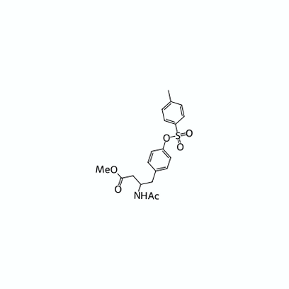 COC(=O)CC(Cc1ccc(OS(=O)(=O)c2ccc(C)cc2)cc1)NC(C)=O